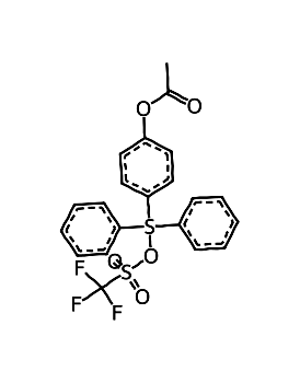 CC(=O)Oc1ccc(S(OS(=O)(=O)C(F)(F)F)(c2ccccc2)c2ccccc2)cc1